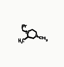 CC(C)CN1CCN(C)CC1C